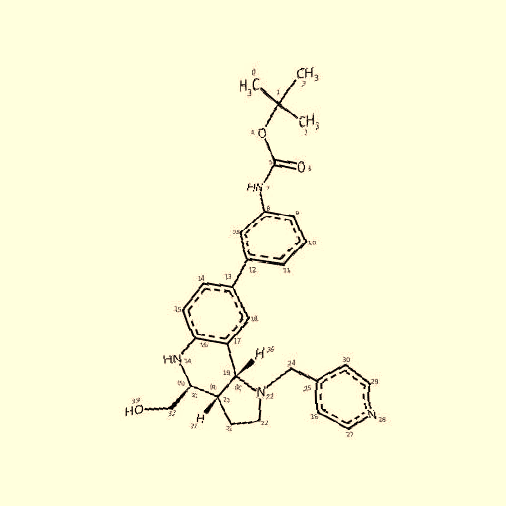 CC(C)(C)OC(=O)Nc1cccc(-c2ccc3c(c2)[C@H]2[C@H](CCN2Cc2ccncc2)[C@@H](CO)N3)c1